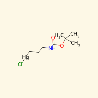 CC(C)(C)OC(=O)NCC[CH2][Hg][Cl]